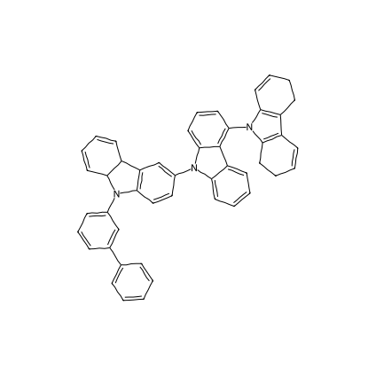 C1=CC2c3cc(-n4c5ccccc5c5c(-n6c7c(c8c6CCC=C8)CCC=C7)cccc54)ccc3N(c3cccc(-c4ccccc4)c3)C2C=C1